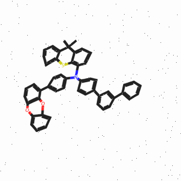 CC1(C)c2ccccc2Sc2c(N(c3ccc(-c4cccc(-c5ccccc5)c4)cc3)c3ccc(-c4cccc5c4Oc4ccccc4O5)cc3)cccc21